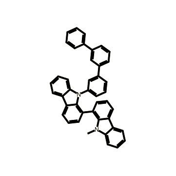 Cn1c2ccccc2c2cccc(-c3cccc4c5ccccc5n(-c5cccc(-c6cccc(-c7ccccc7)c6)c5)c34)c21